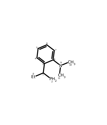 CCC(P)c1ccccc1N(C)C